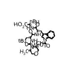 CCCC[C@@H](NC(=O)[C@@H](Cc1cn(C(=O)OC)c2ccccc12)NC(=O)[C@H](CC(C)(C)C)NC(=O)N1[C@H](C)COC[C@@H]1C)C(=O)O